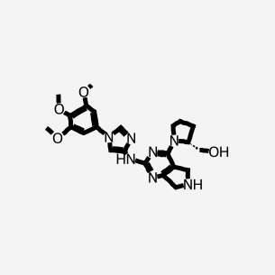 COc1cc(-n2cnc(Nc3nc4c(c(N5CCC[C@@H]5CO)n3)CNC4)c2)cc(OC)c1OC